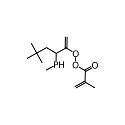 C=C(C)C(=O)OOC(=C)C(CC(C)(C)C)PC